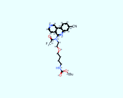 CC(C)(C)OC(=O)NCCCCOCCN(C(=O)C(F)(F)F)c1nc2cc(C#N)ccc2c2cnccc12